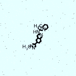 C=C(CN1CCCCC1C)Nc1cc2cc(-c3cnn(C)c3)ccc2cn1